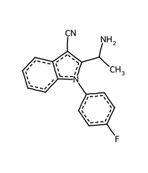 CC(N)c1c(C#N)c2ccccc2n1-c1ccc(F)cc1